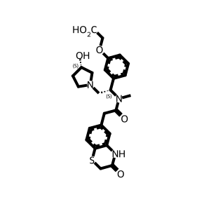 CN(C(=O)Cc1ccc2c(c1)NC(=O)CS2)[C@H](CN1CC[C@H](O)C1)c1cccc(OCC(=O)O)c1